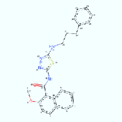 CCOc1ccc2ccccc2c1C(=O)Nc1nnc(NCCCc2ccccc2)s1